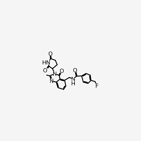 Cc1nc2cccc(CNC(=O)c3ccc(CF)cc3)c2c(=O)n1C1CCC(=O)NC1=O